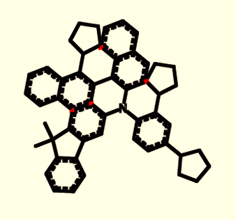 CC1(C)c2ccccc2-c2cc(N(c3ccc(C4CCCC4)cc3C3CCCC3)c3ccc4ccccc4c3-c3ccc4ccccc4c3C3CCCC3)ccc21